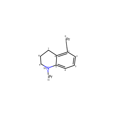 CC(C)c1cccc2c1CCCN2C(C)C